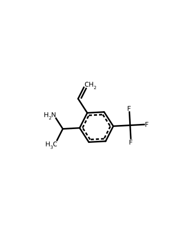 C=Cc1cc(C(F)(F)F)ccc1C(C)N